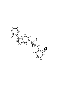 Cc1ccccc1-n1cnc2cc(C(=O)NCc3ccccc3Cl)ccc21